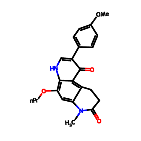 CCCOc1cc2c(c3c(=O)c(-c4ccc(OC)cc4)c[nH]c13)CCC(=O)N2C